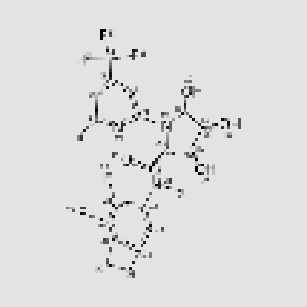 Cc1cc(C(F)(F)F)cc(N2C(O)[C@@H](O)[C@@H](O)[C@H]2C(=O)N(C)c2cc3c(c(F)c2F)CC3)n1